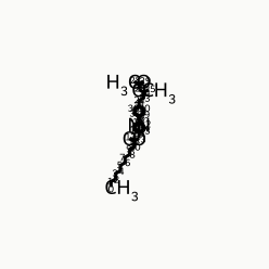 CCCCCCCCCC=CC(=O)Oc1cnc(-c2ccc(CCC(C)OC(C)=O)cc2)nc1